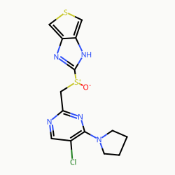 [O-][S+](Cc1ncc(Cl)c(N2CCCC2)n1)c1nc2cscc2[nH]1